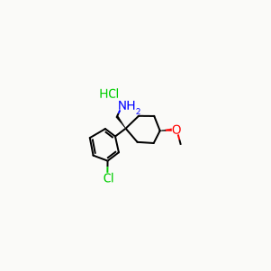 CO[C@H]1CC[C@](CN)(c2cccc(Cl)c2)CC1.Cl